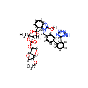 CCOc1nc2cccc(C(=O)OC(C)(C)OC(=O)O[C@H]3COC4C3OC[C@H]4O[N+](=O)[O-])c2n1Cc1ccc(-c2ccccc2-c2nnn[nH]2)cc1